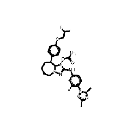 Cc1nc(C)n(-c2ccc(NC3=NN4CCCCC(c5ccc(OCC(F)F)cc5)C4N3OC(=O)C(F)(F)F)cc2F)n1